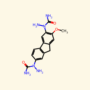 COc1cc2c(cc1N(N)C(N)=O)-c1ccc(N(N)C(N)=O)cc1C2